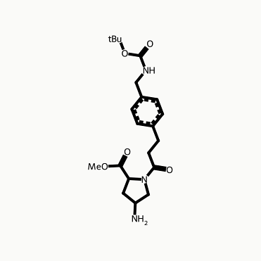 COC(=O)C1CC(N)CN1C(=O)CCc1ccc(CNC(=O)OC(C)(C)C)cc1